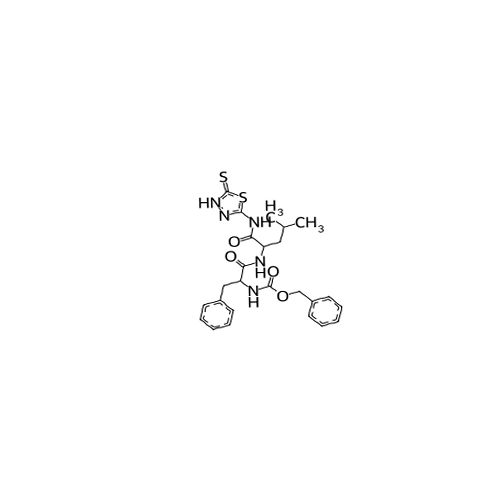 CC(C)CC(NC(=O)C(Cc1ccccc1)NC(=O)OCc1ccccc1)C(=O)Nc1n[nH]c(=S)s1